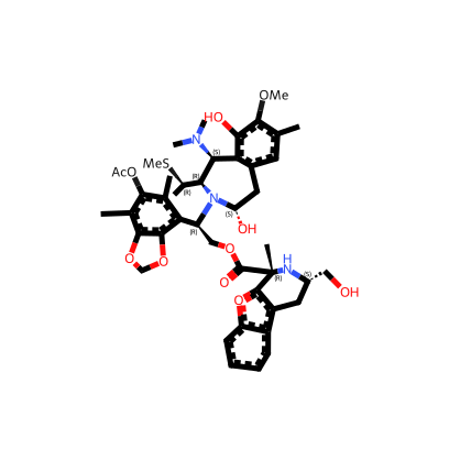 COc1c(C)cc2c(c1O)[C@H](N(C)C)[C@H]([C@@H](C)SC)N([C@@H](COC(=O)[C@]1(C)N[C@H](CO)Cc3c1oc1ccccc31)c1c(C)c(OC(C)=O)c(C)c3c1OCO3)[C@@H](O)C2